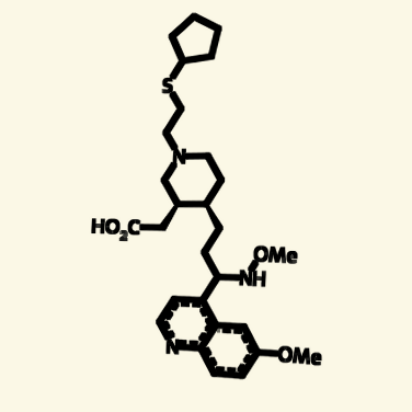 CONC(CC[C@@H]1CCN(CCSC2CCCC2)C[C@@H]1CC(=O)O)c1ccnc2ccc(OC)cc12